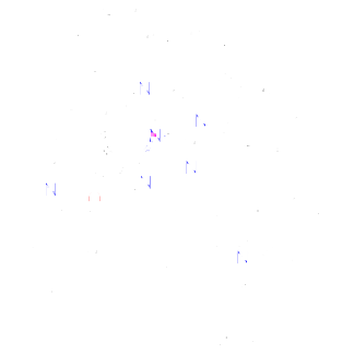 c1ccc(-c2nc3cccc(-c4nc(-c5ccc6c7ccccc7n(-c7ccccc7)c6c5)nc(-n5c6ccccc6c6ccc7c8ccccc8n(-c8ccccc8)c7c65)n4)c3o2)cc1